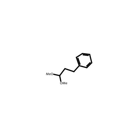 CO[C](CCc1ccccc1)OC